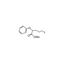 COC(=O)C(CCCI)Oc1ccccc1